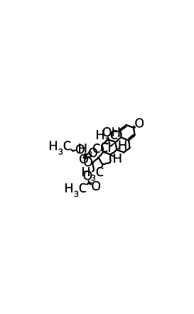 CCOC(=O)O[C@]1(C(=O)COC(C)=O)[C@H](C)C[C@H]2[C@@H]3CCC4=CC(=O)C=C[C@]4(C)[C@@]3(Cl)C(O)C[C@@]21C